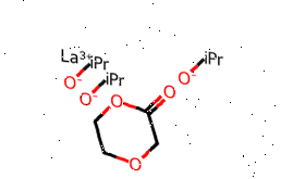 CC(C)[O-].CC(C)[O-].CC(C)[O-].O=C1COCCO1.[La+3]